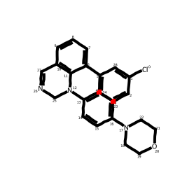 Clc1cccc(-c2cccc3c2N(c2ccc(N4CCOCC4)cc2)CN=C3)c1